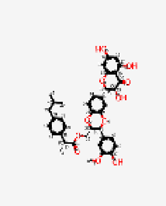 COc1cc([C@@H]2Oc3cc([C@@H]4Oc5cc(O)cc(O)c5C(=O)[C@H]4O)ccc3O[C@H]2COC(=O)[C@H](C)c2ccc(CC(C)C)cc2)ccc1O